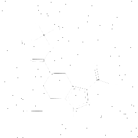 CC[C@@H]1CN(C(=O)OC(C)(C)C)Cc2c(C(=O)O)n[nH]c21